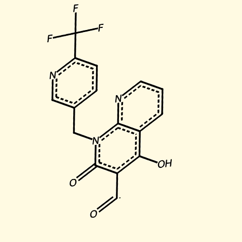 O=[C]c1c(O)c2cccnc2n(Cc2ccc(C(F)(F)F)nc2)c1=O